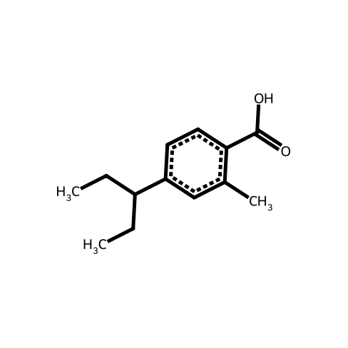 CCC(CC)c1ccc(C(=O)O)c(C)c1